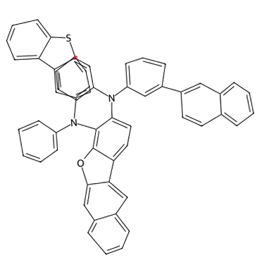 c1ccc(N(c2cccc(-c3ccc4ccccc4c3)c2)c2ccc3c(oc4cc5ccccc5cc43)c2N(c2ccccc2)c2ccc3sc4ccccc4c3c2)cc1